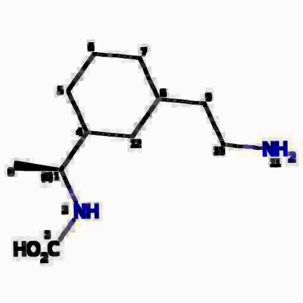 C[C@H](NC(=O)O)C1CCCC(CCN)C1